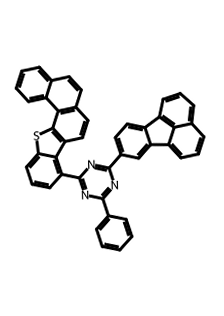 c1ccc(-c2nc(-c3ccc4c(c3)-c3cccc5cccc-4c35)nc(-c3cccc4sc5c(ccc6ccc7ccccc7c65)c34)n2)cc1